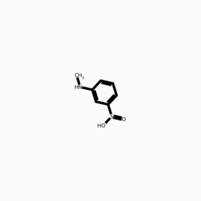 CNc1cccc(S(=O)O)c1